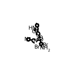 Nc1c(Br)cc(C(=O)C(CC(=O)N2CCC(N3Cc4ccccc4NC3=O)CC2)CN2CCC(c3ccncc3)CC2)cc1Br